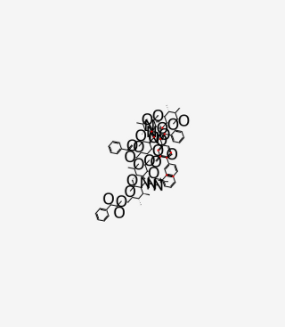 CO[C@H]1OC(COC(=O)c2ccccc2)[C@@H](O[C@@H]2OC(C)[C@@H](OC3OC(COC(=O)c4ccccc4)[C@@H](OC4OC(C)[C@@H](O[C@@H]5OC(COC(=O)C(=O)c6ccccc6)[C@@H](C)[C@H](C)C5N=[N+]=[N-])[C@H](C)[C@@H]4OCc4ccccc4)[C@H](OC(=O)C(=O)c4ccccc4)[C@@H]3N=[N+]=[N-])[C@H](C)C2OC(=O)c2ccccc2)[C@H](C)C1C